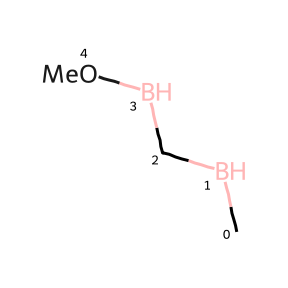 CBCBOC